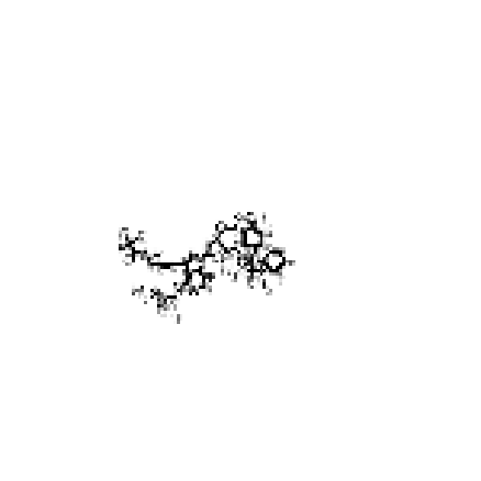 CSCOC1CC(n2cc(C#CCNC(=O)C(F)(F)F)c3c(/N=C/N(C)C)ncnc32)OC1CO[Si](c1ccccc1)(c1ccccc1)C(C)(C)C